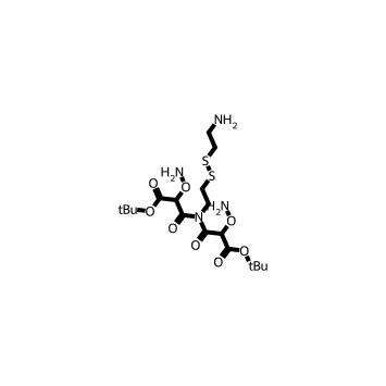 CC(C)(C)OC(=O)C(ON)C(=O)N(CCSSCCN)C(=O)C(ON)C(=O)OC(C)(C)C